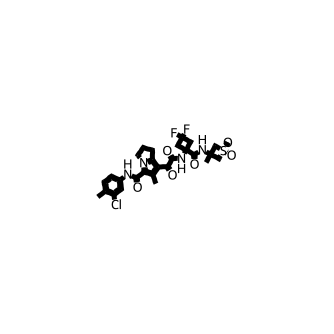 Cc1ccc(NC(=O)c2c(C)c(C(=O)C(=O)NC3(C(=O)NC4(C)CS(=O)(=O)C4)CC(F)(F)C3)c3n2CCC3)cc1Cl